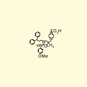 C=C(CN1CCN(C(=O)O)CC1)CN(CCC(c1ccccc1)c1ccccc1)C(=O)Nc1ccc(OC)cc1